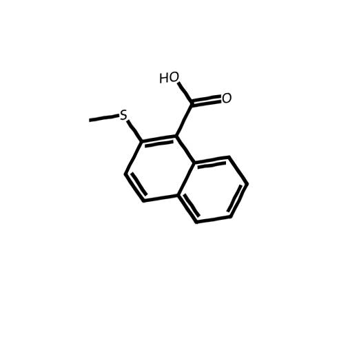 CSc1ccc2ccccc2c1C(=O)O